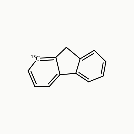 c1ccc2c(c1)Cc1[13cH]cccc1-2